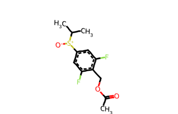 CC(=O)OCc1c(F)cc([S+]([O-])C(C)C)cc1F